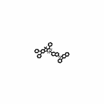 CC1(C)c2cc(-c3ccccc3)c(-c3ccccc3)cc2-c2nc(-c3ccc4cc(-n5c6ccccc6c6cc7ccccc7cc65)ccc4c3)nc(-c3ccccc3)c21